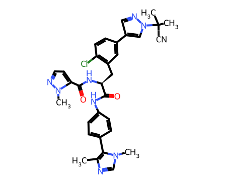 Cc1ncn(C)c1-c1ccc(NC(=O)[C@H](Cc2cc(-c3cnn(C(C)(C)C#N)c3)ccc2Cl)NC(=O)c2ccnn2C)cc1